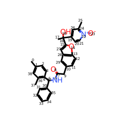 Cc1ccc([C@@H](NC(=O)Cc2ccc3oc(C(C)(O)c4cc[n+]([O-])c(C)c4)cc3c2)c2ccccc2)c(C)c1